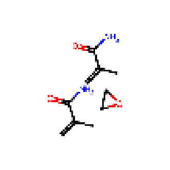 C1CO1.C=C(C)C(N)=O.C=C(C)C(N)=O